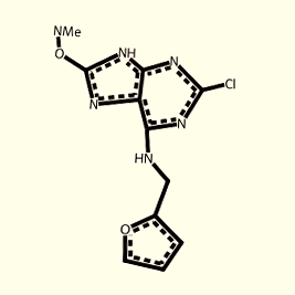 CNOc1nc2c(NCc3ccco3)nc(Cl)nc2[nH]1